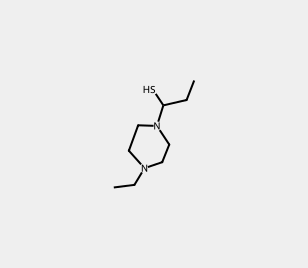 CCC(S)N1CCN(CC)CC1